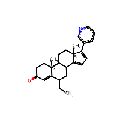 CCC1CC2C3=CC=C(c4cccnc4)[C@@]3(C)CCC2[C@@]2(C)CCC(=O)C=C12